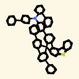 c1ccc(-c2ccc(N(c3ccc(-c4ccc5c(c4)C4(c6cc(-c7ccccc7)ccc6-c6ccc(-c7ccccc7)cc64)c4ccc6sc7ccccc7c6c4-5)cc3)c3ccccc3-c3ccccc3)cc2)cc1